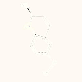 CCOc1ccc2c(c1)C=C[C@H](C#N)N2